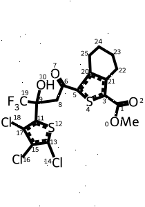 COC(=O)c1sc(C(=O)CC(O)(c2sc(Cl)c(Cl)c2Cl)C(F)(F)F)c2c1CCCC2